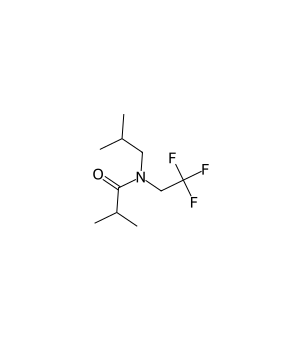 CC(C)CN(CC(F)(F)F)C(=O)C(C)C